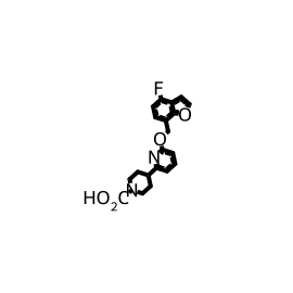 O=C(O)N1CCC(c2cccc(OCc3ccc(F)c4ccoc34)n2)CC1